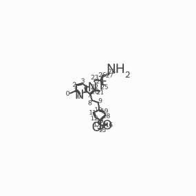 Cc1ccc2c(n1)c(CCc1ccc(S(C)(=O)=O)cc1)c(C)n2C/C(F)=C/CN